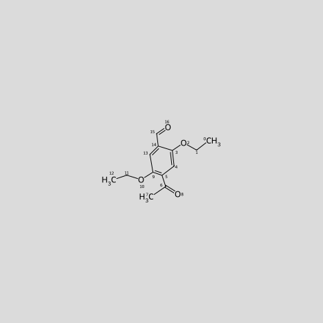 CCOc1cc(C(C)=O)c(OCC)cc1C=O